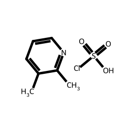 Cc1cccnc1C.O=S(=O)(O)Cl